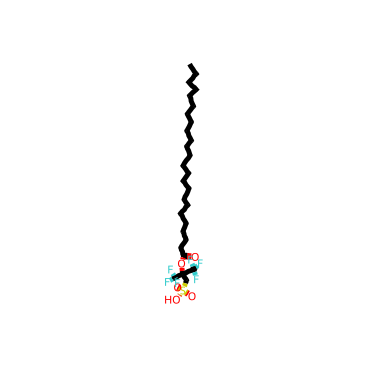 CCCCCCCCCCCCCCCCCCCCCCCC(=O)OC(CS(=O)(=O)O)(C(F)(F)F)C(F)(F)F